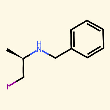 C[C@H](CI)NCc1ccccc1